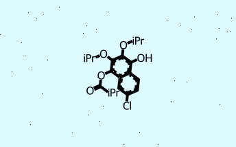 CC(C)Oc1c(OC(C)C)c(OC(=O)C(C)C)c2cc(Cl)ccc2c1O